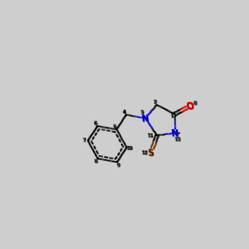 O=C1CN(Cc2ccccc2)C(=S)[N]1